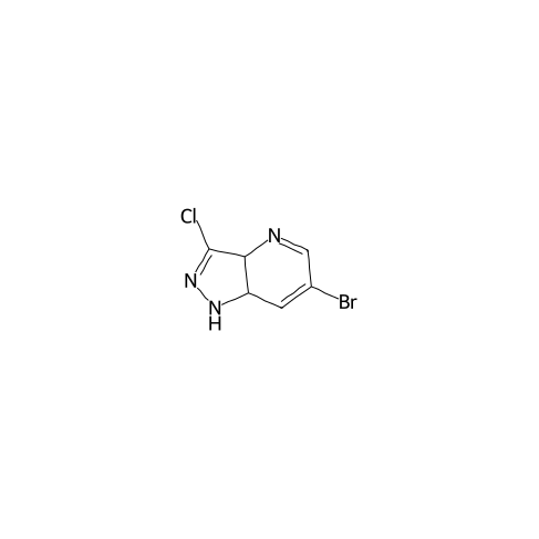 ClC1=NNC2C=C(Br)C=NC12